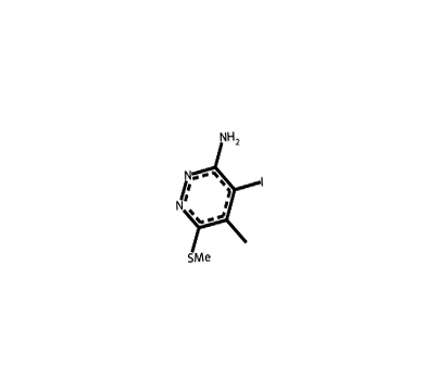 CSc1nnc(N)c(I)c1C